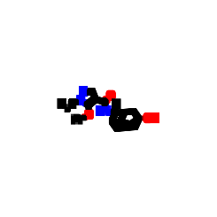 CC(C)Oc1c(C(=O)N[C@H]2C3CC4CC2C[C@](O)(C4)C3)cnn1C